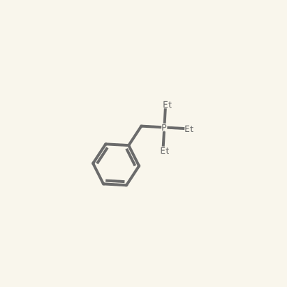 CC[P](CC)(CC)Cc1ccccc1